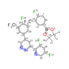 CC1(C)OB(c2ccc(F)c(C(F)(F)F)c2)OC1(C)C.Fc1cnc(-c2cc(-c3ccc(F)c(C(F)(F)F)c3)cnn2)c(F)c1